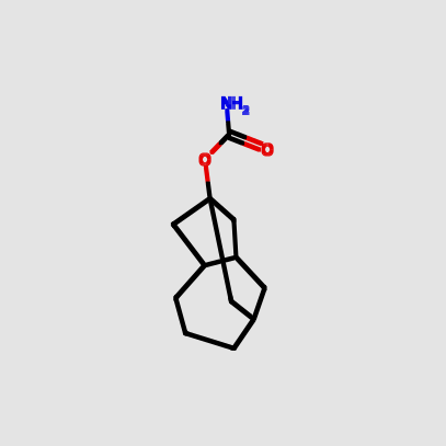 NC(=O)OC12CC3CCCC(C1)C(C3)C2